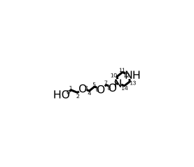 OCCOCCOCON1CCNCC1